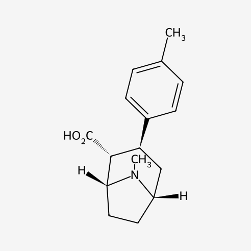 Cc1ccc([C@H]2C[C@@H]3CC[C@H]([C@@H]2C(=O)O)N3C)cc1